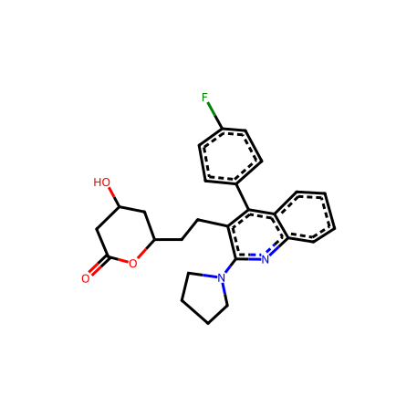 O=C1CC(O)CC(CCc2c(N3CCCC3)nc3ccccc3c2-c2ccc(F)cc2)O1